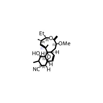 C=C1O[C@H](CC)[C@H](C)/C=C(\C)[C@]23O[C@@H]4[C@H](C=C[C@@H]2C[C@@H]1OC)[C@H]3[C@H](O)C(C)[C@H]4C#N